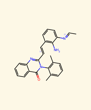 C/C=N/c1cccc(/C=C/c2nc3ccccc3c(=O)n2-c2c(C)cccc2C)c1N